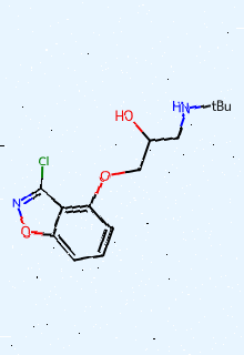 CC(C)(C)NCC(O)COc1cccc2onc(Cl)c12